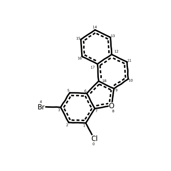 Clc1cc(Br)cc2c1oc1ccc3ccccc3c12